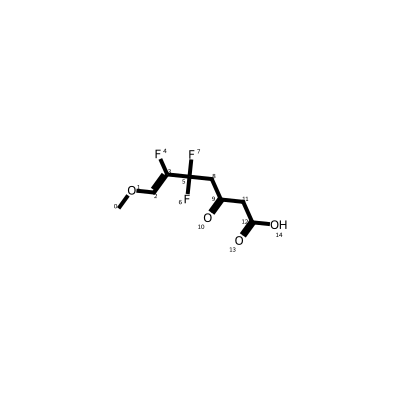 COC=C(F)C(F)(F)CC(=O)CC(=O)O